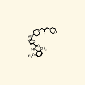 Cc1cccc(C)c1NC(=O)c1cnc(NC2CCN(CC(I)CN3CCOCC3)CC2)o1